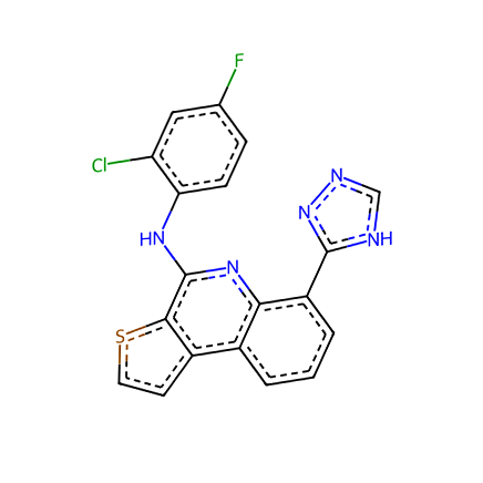 Fc1ccc(Nc2nc3c(-c4nnc[nH]4)cccc3c3ccsc23)c(Cl)c1